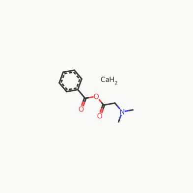 CN(C)CC(=O)OC(=O)c1ccccc1.[CaH2]